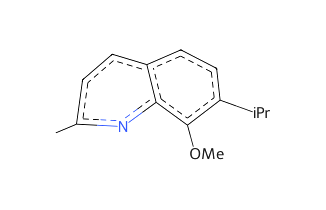 COc1c(C(C)C)ccc2ccc(C)nc12